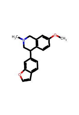 COc1ccc2c(c1)CN(C)CC2c1ccc2ccoc2c1